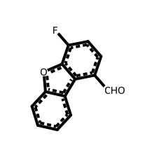 O=Cc1ccc(F)c2oc3ccccc3c12